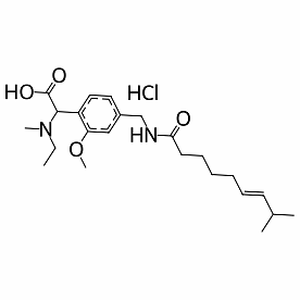 CCN(C)C(C(=O)O)c1ccc(CNC(=O)CCCC/C=C/C(C)C)cc1OC.Cl